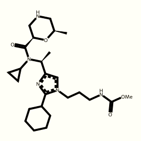 COC(=O)NCCCn1cc([C@H](C)N(C(=O)[C@H]2CNC[C@@H](C)O2)C2CC2)nc1C1CCCCC1